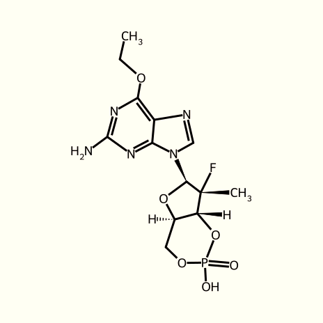 CCOc1nc(N)nc2c1ncn2[C@@H]1O[C@@H]2COP(=O)(O)O[C@H]2[C@@]1(C)F